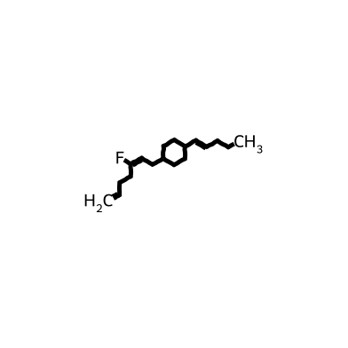 C=CCC/C(F)=C\CC1CCC(/C=C/CCC)CC1